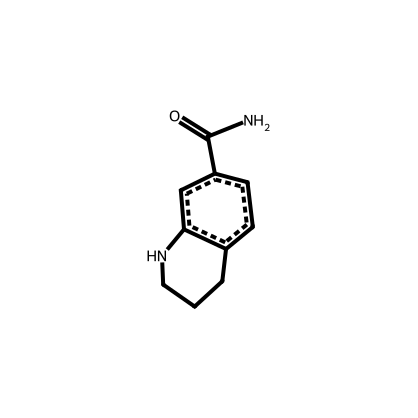 NC(=O)c1ccc2c(c1)NCCC2